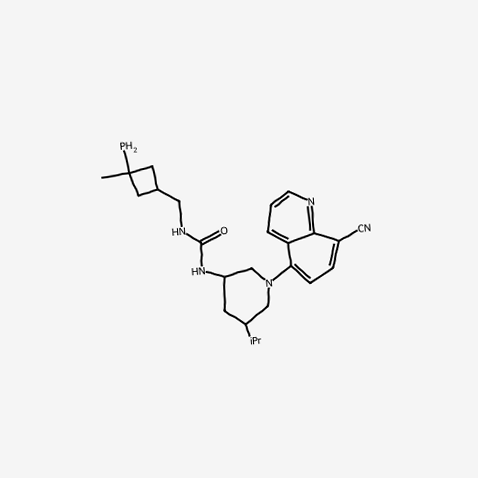 CC(C)C1CC(NC(=O)NCC2CC(C)(P)C2)CN(c2ccc(C#N)c3ncccc23)C1